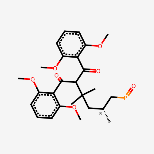 COc1cccc(OC)c1C(=O)C(C(=O)c1c(OC)cccc1OC)C(C)(C)C[C@@H](C)CP=O